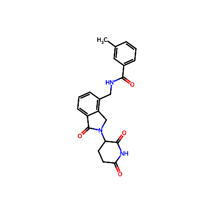 Cc1cccc(C(=O)NCc2cccc3c2CN(C2CCC(=O)NC2=O)C3=O)c1